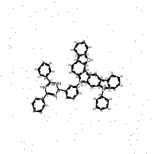 c1ccc(C2=NC(c3cccc(-n4c5cc6c(cc5c5c7oc8ccccc8c7ccc54)c4ccccc4n6-c4ccccc4)c3)NC(c3ccccc3)=N2)cc1